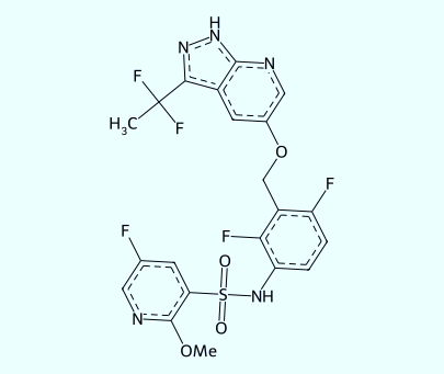 COc1ncc(F)cc1S(=O)(=O)Nc1ccc(F)c(COc2cnc3[nH]nc(C(C)(F)F)c3c2)c1F